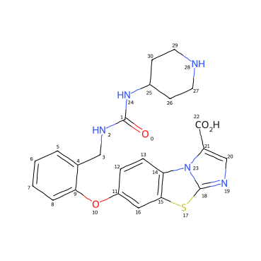 O=C(NCc1ccccc1Oc1ccc2c(c1)sc1ncc(C(=O)O)n12)NC1CCNCC1